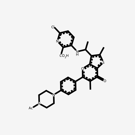 CC(=O)N1CCN(c2ccc(-c3oc4c(C(C)Nc5ccc(Cl)nc5C(=O)O)c(C)sc4c(=O)c3C)cc2)CC1